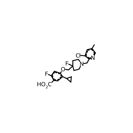 Cc1cnc(CN2CCC(F)(COc3cc(F)c(C(=O)O)cc3C3CC3)CC2)c(Cl)c1